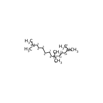 CN(C)CC[CH]CCC[N+](C)(C)CCCN(C)C